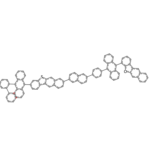 c1ccc(-c2ccccc2-c2c3ccccc3c(-c3ccc4c(c3)sc3cc5cc(-c6ccc7cc(-c8ccc(-c9c%10ccccc%10c(-c%10cccc%11c%10oc%10cc%12ccccc%12cc%10%11)c%10ccccc9%10)cc8)ccc7c6)ccc5cc34)c3ccccc23)cc1